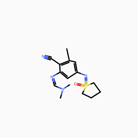 Cc1cc(N=S2(=O)CCCC2)cc(/N=C\N(C)C)c1C#N